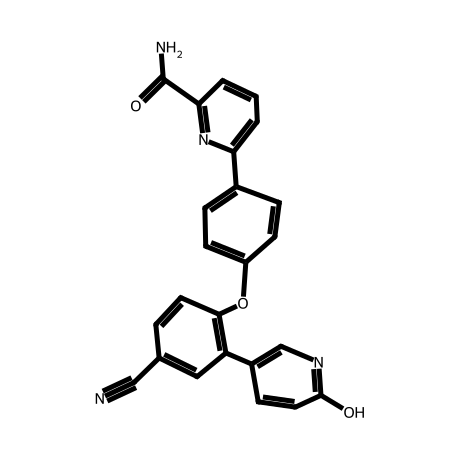 N#Cc1ccc(Oc2ccc(-c3cccc(C(N)=O)n3)cc2)c(-c2ccc(O)nc2)c1